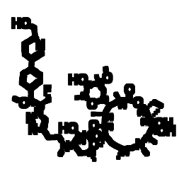 CC[C@H]1OC(=O)[C@H](C)C([C@H]2C[C@@](C)(OC)[C@@H](O)[C@H](C)O2)[C@H](C)[C@@H](O[C@@H]2O[C@H](C)C[C@H](N(C)CCc3cn([C@H](CF)[C@H](OC)c4ccc(-c5ccc(CO)nc5)cc4)nn3)[C@H]2O)[C@](C)(O)C[C@@H](C)CN(C)[C@H](C)[C@@H](O)[C@]1(C)O